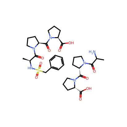 CC(N)C(=O)N1CCC[C@H]1C(=O)N1CCC[C@H]1C(=O)O.C[C@H](NS(=O)(=O)Cc1ccccc1)C(=O)N1CCC[C@H]1C(=O)N1CCC[C@H]1C(=O)O